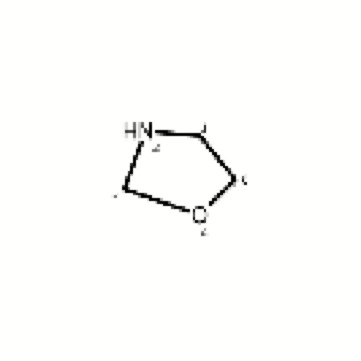 [CH]1CNCO1